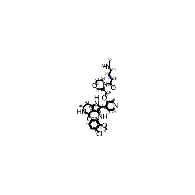 COc1c(Cl)cccc1Nc1c(-c2ccncc2OC[C@H]2COCCN2C(=O)/C=C/CN(C)C)[nH]c2c1C(=O)NCC2